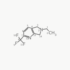 CCN1Cc2ccc(C(F)(F)F)nc2C1